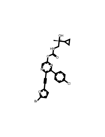 C[C@](O)(CNC(=O)Oc1cnc(C#Cc2ccc(Br)o2)c(-c2ccc(Cl)cc2)n1)C1CC1